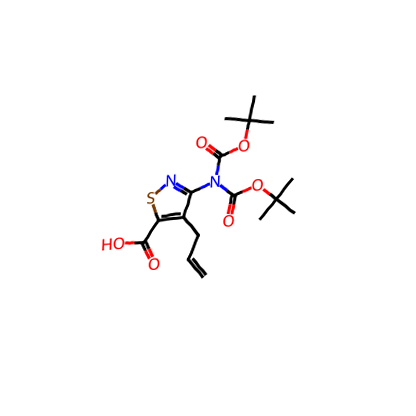 C=CCc1c(N(C(=O)OC(C)(C)C)C(=O)OC(C)(C)C)nsc1C(=O)O